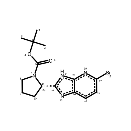 CC(C)(C)OC(=O)N1CCC[C@H]1c1nc2ccc(Br)nc2[nH]1